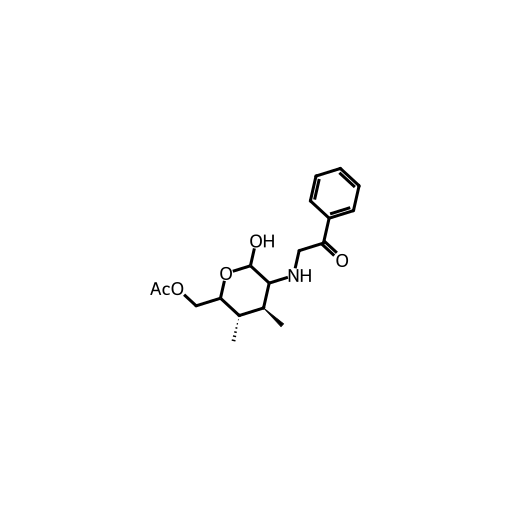 CC(=O)OCC1OC(O)C(NCC(=O)c2ccccc2)[C@@H](C)[C@@H]1C